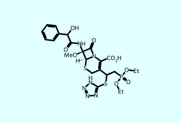 CCOP(=O)(CC(Sc1nnn[nH]1)C1=C(C(=O)O)N2C(=O)[C@](NC(=O)C(O)c3ccccc3)(OC)[C@@H]2SC1)OCC